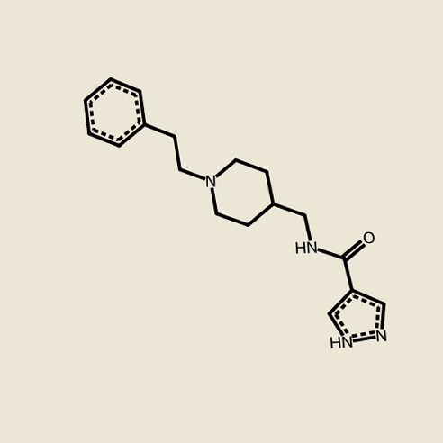 O=C(NCC1CCN(CCc2ccccc2)CC1)c1cn[nH]c1